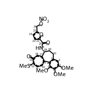 COc1cc2c(c(OC)c1OC)-c1ccc(SC)c(=O)cc1[C@@H](NC(=O)c1ccc(CO[N+](=O)[O-])o1)CC2